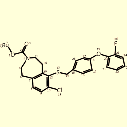 CC(C)(C)OC(=O)N1CCc2ccc(Cl)c(SCc3ccc(Oc4ccccc4F)cc3)c2CC1